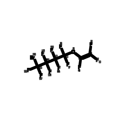 FC(F)=C(F)OC(F)(F)C(F)(F)C(F)(F)C(F)(F)Br